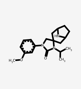 COc1cccc(N2CC3(CC4CCC(C3)N4)N(C(C)C)C2=O)c1